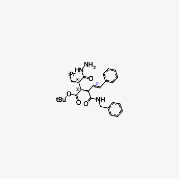 CC(C)C[C@@H](C(=O)NN)[C@H](C(=O)OC(C)(C)C)C(/C=C/c1ccccc1)C(=O)NCc1ccccc1